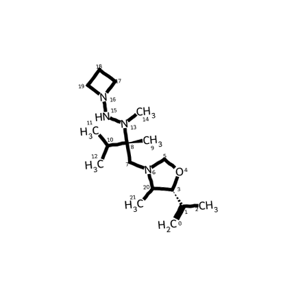 C=C(C)[C@H]1OCN(C[C@](C)(C(C)C)N(C)NN2CCC2)C1C